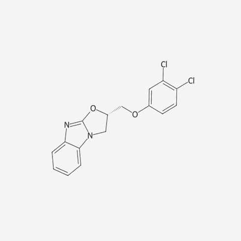 Clc1ccc(OC[C@@H]2Cn3c(nc4ccccc43)O2)cc1Cl